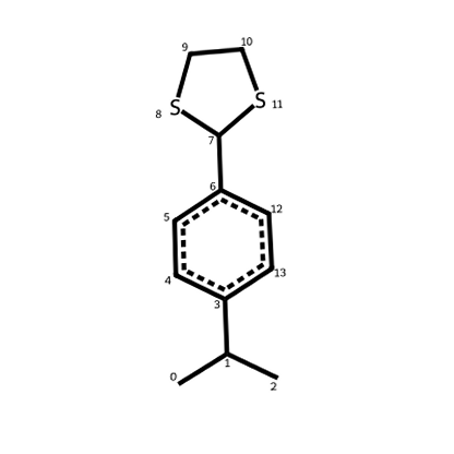 CC(C)c1ccc(C2SCCS2)cc1